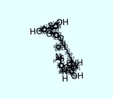 Cc1ncsc1-c1ccc([C@H](C)NC(=O)[C@@H]2C[C@@H](O)CN2C(=O)C(NC(=O)CCCCCCCN(CCOc2ccc(C(=O)c3c(-c4ccc(O)cc4)sc4cc(O)ccc34)cc2)C2CCCC2)C(C)(C)C)cc1